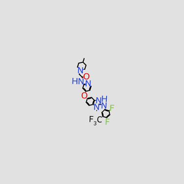 CC1CCN(CC(=O)Nc2cc(Oc3ccc4c(c3)nc(Nc3cc(C(F)(F)F)c(F)cc3F)n4C)ccn2)CC1